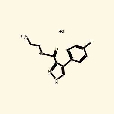 Cl.NCCNC(=O)c1n[nH]cc1-c1ccc(F)cc1